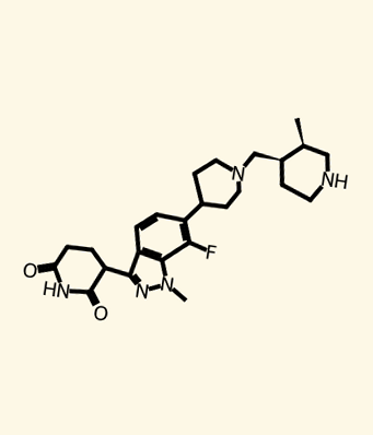 C[C@H]1CNCC[C@H]1CN1CCC(c2ccc3c(C4CCC(=O)NC4=O)nn(C)c3c2F)CC1